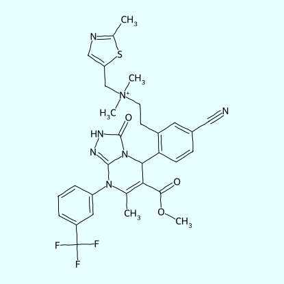 COC(=O)C1=C(C)N(c2cccc(C(F)(F)F)c2)c2n[nH]c(=O)n2C1c1ccc(C#N)cc1CC[N+](C)(C)Cc1cnc(C)s1